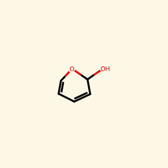 O[C]1C=CC=CO1